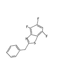 Fc1cc(F)c2sc(Cc3ccccc3)nc2c1F